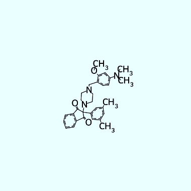 COc1cc(N(C)C)ccc1CN1CCN(C2(c3cc(C)cc(C)c3)C(=O)c3ccccc3C2=O)CC1